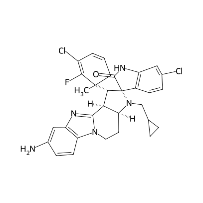 CC1([C@H]2[C@@H]3c4nc5cc(N)ccc5n4CC[C@@H]3N(CC3CC3)[C@@]23C(=O)Nc2cc(Cl)ccc23)CC=CC(Cl)=C1F